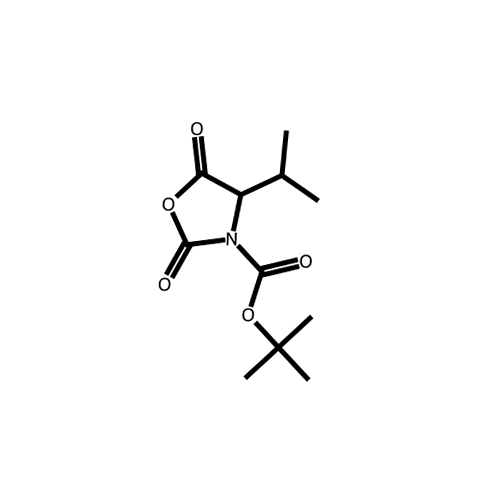 CC(C)C1C(=O)OC(=O)N1C(=O)OC(C)(C)C